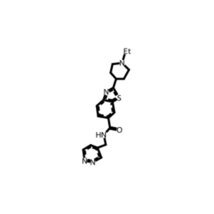 CCN1CCC(c2nc3ccc(C(=O)NCc4ccnnc4)cc3s2)CC1